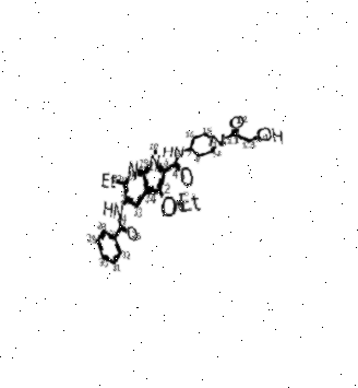 CCOc1c(C(=O)NC2CCN(C(=O)CO)CC2)n(C)c2nc(CC)c(NC(=O)c3ccccc3)cc12